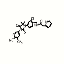 CC1(C)C(=O)N(c2cnc(C#N)c(C(F)(F)F)c2)C(=S)N1c1ccc(CNC(=O)Cc2ccccn2)c(Cl)c1